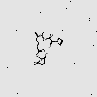 C=C(CCCC(=O)ON1C(=O)CCC1=O)N(C)OC(=O)C(=O)N1C=CC1